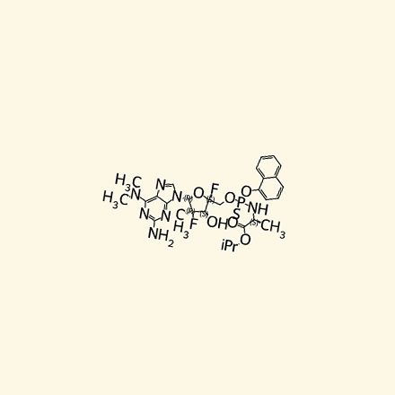 CC(C)OC(=O)[C@H](C)NP(=S)(OC[C@@]1(F)O[C@@H](n2cnc3c(N(C)C)nc(N)nc32)[C@](C)(F)[C@@H]1O)Oc1cccc2ccccc12